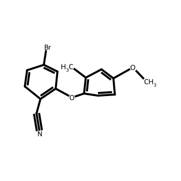 COc1ccc(Oc2cc(Br)ccc2C#N)c(C)c1